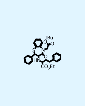 CCOC(=O)C(CCc1ccccc1)NC1C(=O)N(CC(=O)OC(C)(C)C)c2ccccc2SC1c1ccccc1